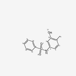 [CH2]c1ccc(NS(=O)(=O)c2ccccc2)cc1O